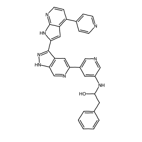 OC(Cc1ccccc1)Nc1cncc(-c2cc3c(-c4cc5c(-c6ccncc6)ccnc5[nH]4)n[nH]c3cn2)c1